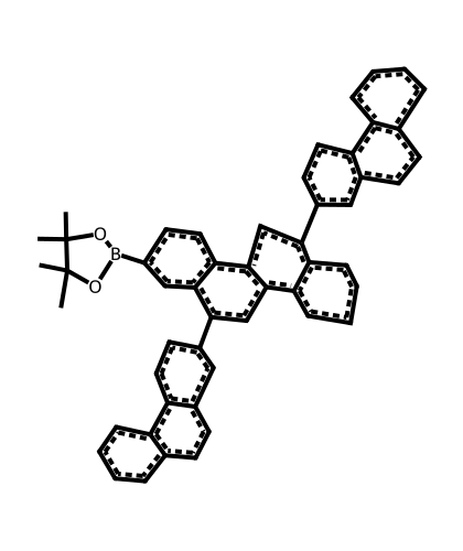 CC1(C)OB(c2ccc3c(c2)c(-c2ccc4c(ccc5ccccc54)c2)cc2c4ccccc4c(-c4ccc5c(ccc6ccccc65)c4)cc32)OC1(C)C